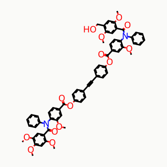 COc1cc(C(=O)N(c2ccccc2)c2ccc(C(=O)Oc3ccc(C#Cc4ccc(OC(=O)c5ccc(N(C(=O)c6cc(OC)c(OC)cc6OC)c6ccccc6)c(OC)c5)cc4)cc3)cc2OC)c(OC)cc1CO